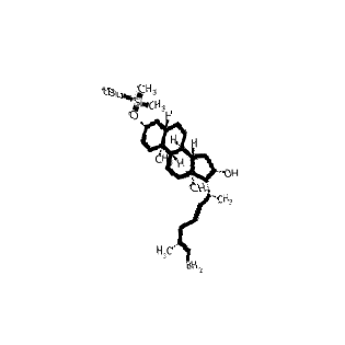 BC[C@H](C)CCC[C@@H](C)[C@H]1[C@@H](O)C[C@H]2[C@@H]3CC[C@H]4C[C@@H](O[Si](C)(C)C(C)(C)C)CC[C@]4(C)[C@H]3CC[C@]12C